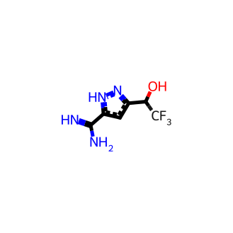 N=C(N)c1cc(C(O)C(F)(F)F)n[nH]1